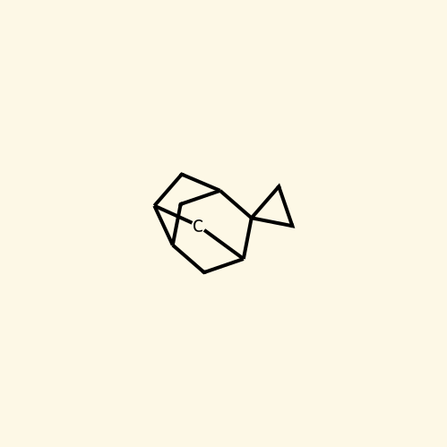 C1C2CC3CC2CC1C31CC1